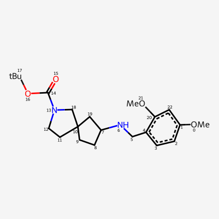 COc1ccc(CNC2CCC3(CCN(C(=O)OC(C)(C)C)C3)C2)c(OC)c1